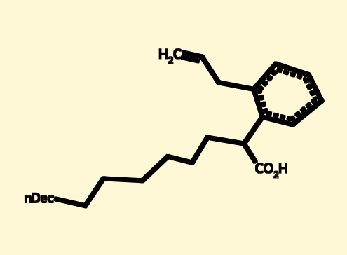 C=CCc1ccccc1C(CCCCCCCCCCCCCCCC)C(=O)O